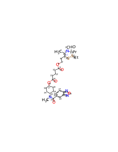 CCCN(C=O)/C(C)=C(/CCOC(=O)CCCC(=O)O[C@H]1CC[C@H](N(C)C(=O)c2ccc3nonc3c2)CC1)SSCC